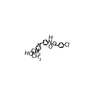 CC(C)(O)CN1CCN(Cc2ccc(NC(=O)OCc3ccc(Cl)cc3)cc2)CC1